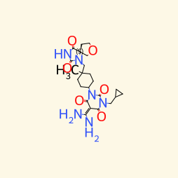 CC1(CN2C(=O)NC(=O)[C@@]23CCOC3)CCC(N2C(=O)C(=C(N)N)C(=O)N(CC3CC3)C2=O)CC1